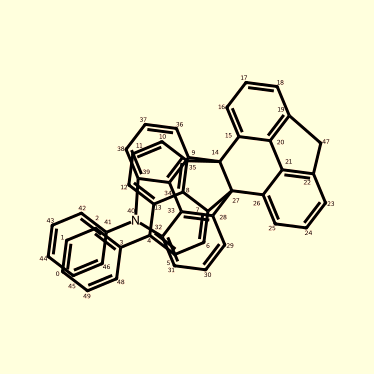 c1ccc(-c2ccc3c4c(cccc24)C24c5cccc6c5-c5c(cccc5C32c2cccc3c2c2c4cccc2n3-c2ccccc2)C6)cc1